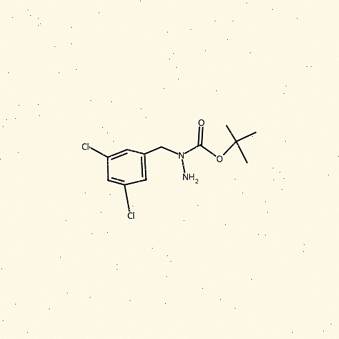 CC(C)(C)OC(=O)N(N)Cc1cc(Cl)cc(Cl)c1